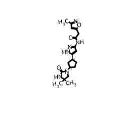 Cc1cc(CC(=O)Nc2cc([C@H]3CC[C@@H](N4CC(C)(C)NC4=O)C3)[nH]n2)on1